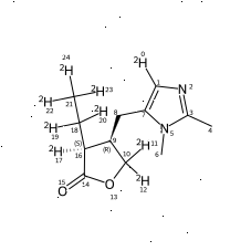 [2H]c1nc(C)n(C)c1C[C@H]1C([2H])([2H])OC(=O)[C@@]1([2H])C([2H])([2H])C([2H])([2H])[2H]